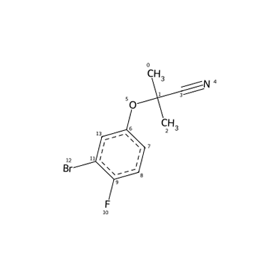 CC(C)(C#N)Oc1ccc(F)c(Br)c1